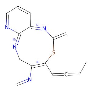 C=N/C1=C(\C=C=CC)SC(=C)/N=c2/cccn/c2=N/C1